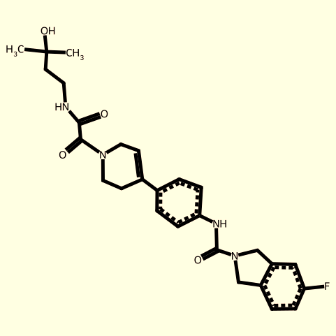 CC(C)(O)CCNC(=O)C(=O)N1CC=C(c2ccc(NC(=O)N3Cc4ccc(F)cc4C3)cc2)CC1